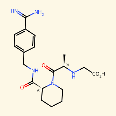 C[C@@H](NCC(=O)O)C(=O)N1CCCC[C@@H]1C(=O)NCc1ccc(C(=N)N)cc1